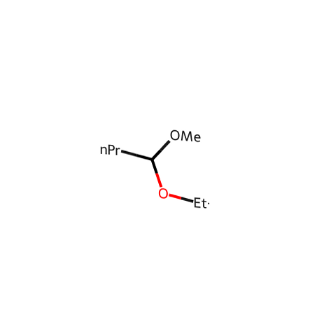 C[CH]OC(CCC)OC